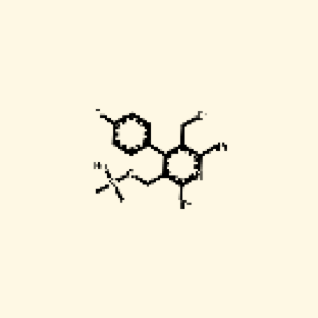 CC(C)c1nc(C(C)C)c(CO[Si](C)(C)C(C)(C)C)c(-c2ccc(F)cc2)c1CBr